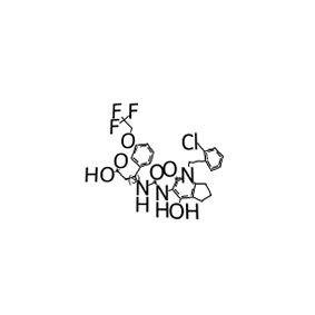 O=C(O)C[C@H](NC(=O)Nc1c(O)c2c(n(Cc3ccccc3Cl)c1=O)CCC2)c1cccc(OCC(F)(F)F)c1